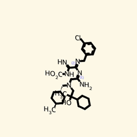 CC(O)(CN(C/C(N)=N\C(=N/Cc1cccc(Cl)c1)C(=N)NC(=O)O)C[C@H]1CC[C@H](C)CC1)C1CCCCC1